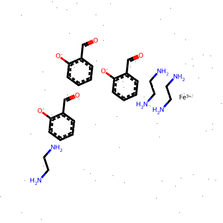 NCCN.NCCN.NCCN.O=Cc1ccccc1[O-].O=Cc1ccccc1[O-].O=Cc1ccccc1[O-].[Fe+3]